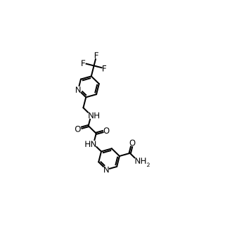 NC(=O)c1cncc(NC(=O)C(=O)NCc2ccc(C(F)(F)F)cn2)c1